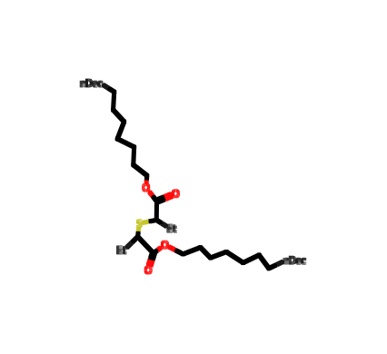 CCCCCCCCCCCCCCCCCOC(=O)C(CC)SC(CC)C(=O)OCCCCCCCCCCCCCCCCC